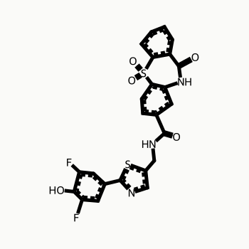 O=C(NCc1cnc(-c2cc(F)c(O)c(F)c2)s1)c1ccc2c(c1)NC(=O)c1ccccc1S2(=O)=O